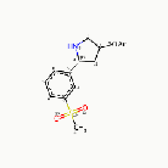 CC(=O)OC1CN[C@@H](c2cccc(S(C)(=O)=O)c2)C1